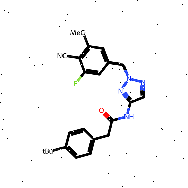 COc1cc(Cn2ncc(NC(=O)Cc3ccc(C(C)(C)C)cc3)n2)cc(F)c1C#N